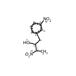 CC(C(O)Cc1cccc([N+](=O)[O-])c1)[N+](=O)[O-]